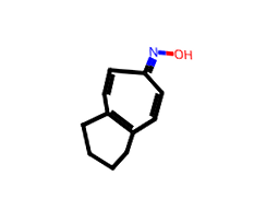 ON=c1ccc2c(cc1)CCCC2